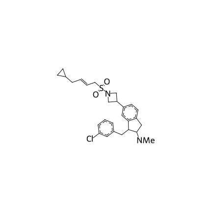 CNC1Cc2ccc(C3CN(S(=O)(=O)CC=CCC4CC4)C3)cc2C1Cc1cccc(Cl)c1